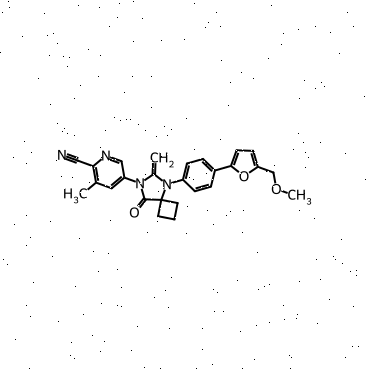 C=C1N(c2cnc(C#N)c(C)c2)C(=O)C2(CCC2)N1c1ccc(-c2ccc(COC)o2)cc1